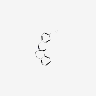 COc1ccc(/C=C2/CCc3ccccc3C2=O)cc1